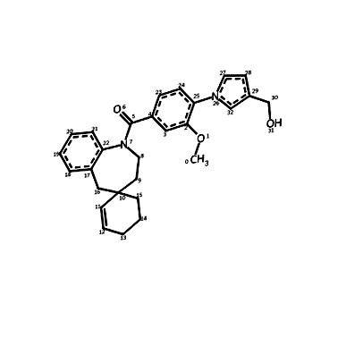 COc1cc(C(=O)N2CCC3(C=CCCC3)Cc3ccccc32)ccc1-n1ccc(CO)c1